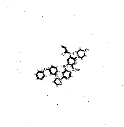 C=CC(=O)Nc1cc(Nc2cc(N3OCC[C@@H]3c3cccc(Oc4ccccc4)c3)ncn2)c(OC)nc1N1CCN(C)CC1